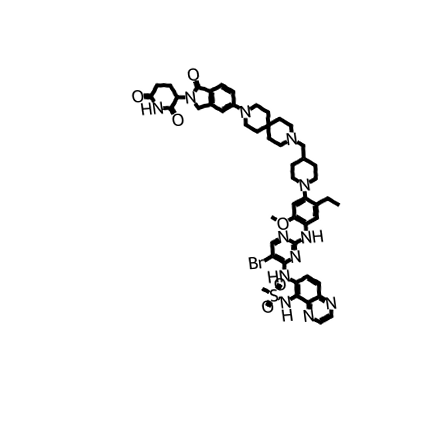 CCc1cc(Nc2ncc(Br)c(Nc3ccc4nccnc4c3NS(C)(=O)=O)n2)c(OC)cc1N1CCC(CN2CCC3(CC2)CCN(c2ccc4c(c2)CN(C2CCC(=O)NC2=O)C4=O)CC3)CC1